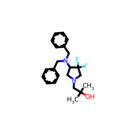 CC(C)(O)CN1CC(N(Cc2ccccc2)Cc2ccccc2)C(F)(F)C1